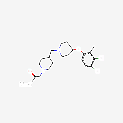 COC(=O)CN1CCC(CN2CCC(Oc3ccc(Cl)c(Cl)c3C)CC2)CC1